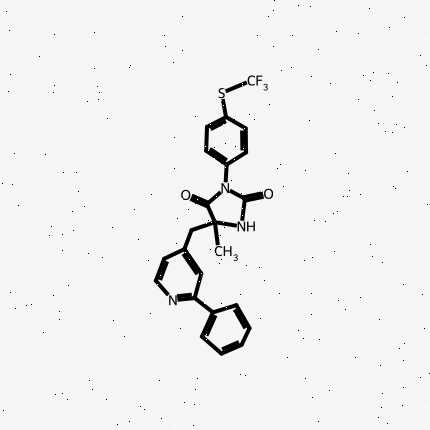 CC1(Cc2ccnc(-c3ccccc3)c2)NC(=O)N(c2ccc(SC(F)(F)F)cc2)C1=O